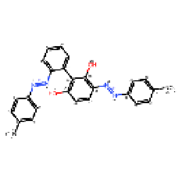 O=[N+]([O-])c1ccc(/N=N/c2ccccc2-c2c(O)ccc(/N=N/c3ccc([N+](=O)[O-])cc3)c2O)cc1